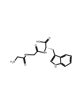 NCC(=O)NCC(=O)N[C@@H](Cc1c[nH]c2ccccc12)C(=O)O